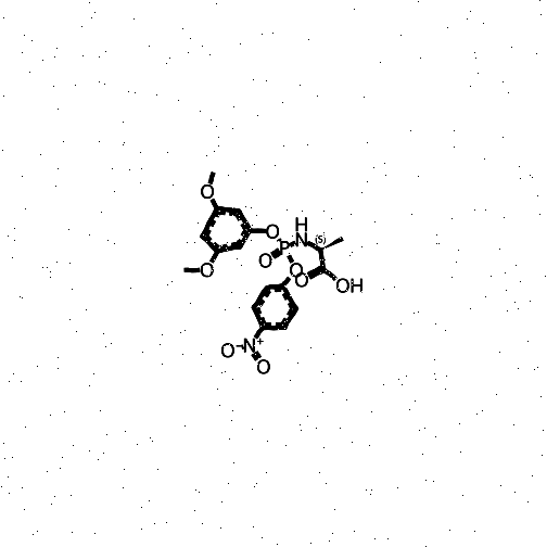 COc1cc(OC)cc(OP(=O)(N[C@@H](C)C(=O)O)Oc2ccc([N+](=O)[O-])cc2)c1